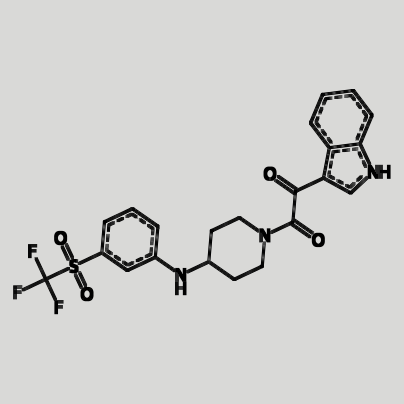 O=C(C(=O)N1CCC(Nc2cccc(S(=O)(=O)C(F)(F)F)c2)CC1)c1c[nH]c2ccccc12